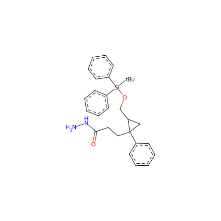 CC(C)(C)[Si](OCC1CC1(CCC(=O)NN)c1ccccc1)(c1ccccc1)c1ccccc1